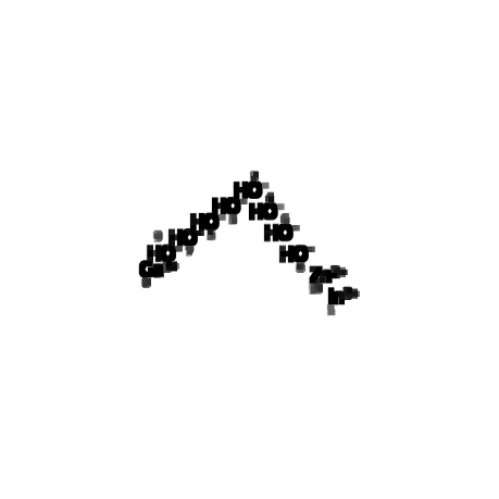 [Ga+3].[In+3].[OH-].[OH-].[OH-].[OH-].[OH-].[OH-].[OH-].[OH-].[Zn+2]